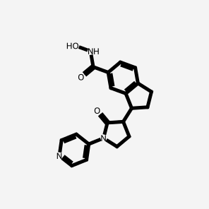 O=C(NO)c1ccc2c(c1)C(C1CCN(c3ccncc3)C1=O)CC2